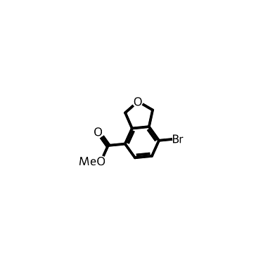 COC(=O)c1ccc(Br)c2c1COC2